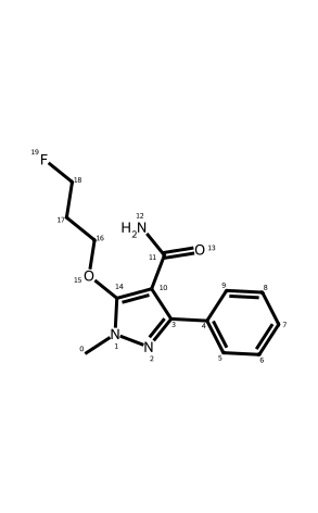 Cn1nc(-c2ccccc2)c(C(N)=O)c1OCCCF